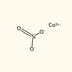 O=[Si]([O-])[O-].[Co+2]